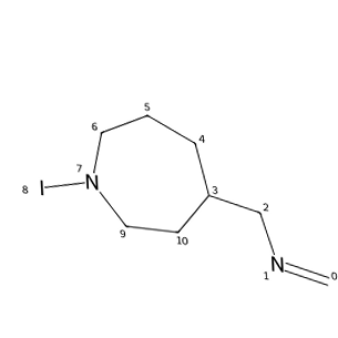 C=NCC1CCCN(I)CC1